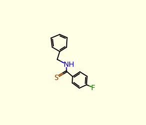 Fc1ccc(C(=S)NCc2ccccc2)cc1